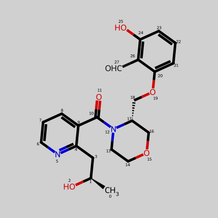 C[C@@H](O)Cc1ncccc1C(=O)N1CCOC[C@H]1COc1cccc(O)c1C=O